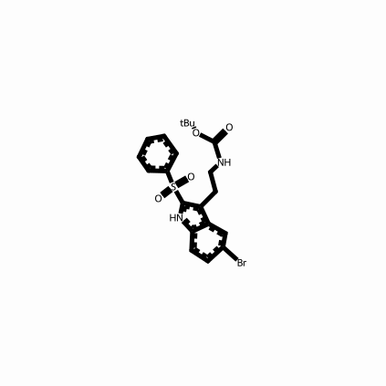 CC(C)(C)OC(=O)NCCc1c(S(=O)(=O)c2ccccc2)[nH]c2ccc(Br)cc12